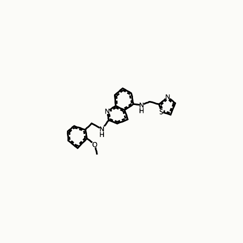 COc1ccccc1CNc1ccc2c(NCc3nccs3)cccc2n1